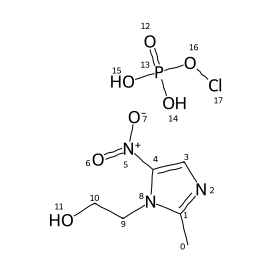 Cc1ncc([N+](=O)[O-])n1CCO.O=P(O)(O)OCl